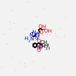 CC(C)(C)[C@H](OCN1CN([C@H]2CC(O)[C@@H](CO)O2)c2ncnc(N)c21)c1ccccc1[N+](=O)[O-]